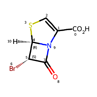 O=C(O)C1=CS[C@@H]2[C@@H](Br)C(=O)N12